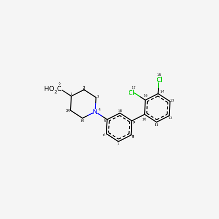 O=C(O)C1CCN(c2cccc(-c3cccc(Cl)c3Cl)c2)CC1